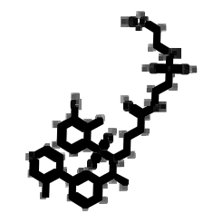 Cc1cnccc1-c1cccc([C@H](C)N(CCCC(=O)NCCS(=O)(=O)NCCC(=O)O)S(=O)(=O)c2cccc(Cl)c2C)c1